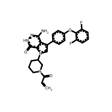 C=CC(=O)N1CCCC(n2cc(-c3ccc(Oc4c(F)cccc4F)cc3)c3c(N)n[nH]c(=O)c32)C1